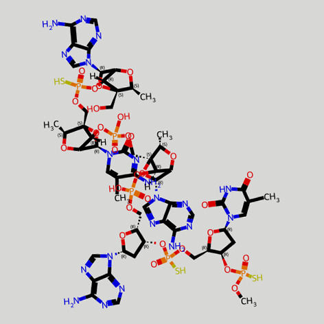 COP(=O)(S)O[C@@H]1C[C@H](n2cc(C)c(=O)[nH]c2=O)O[C@@H]1COP(=O)(S)O[C@@H]1C[C@H](n2cnc3c(N)ncnc32)O[C@@H]1COP(=O)(O)O[C@@H]1C2O[C@@H](C)[C@]1(COP(=O)(O)O[C@@H]1C3O[C@@H](C)[C@]1(COP(=O)(S)O[C@@H]1C4O[C@@H](C)[C@]1(CO)O[C@H]4n1cnc4c(N)ncnc41)O[C@H]3n1cc(C)c(N)nc1=O)O[C@H]2n1cnc2c(N)ncnc21